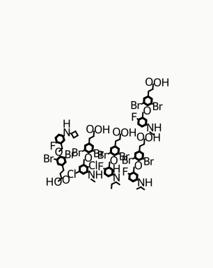 CC(C)Nc1ccc(F)c(COc2c(Br)cc(CCC(=O)O)cc2Br)c1.CCC(C)Nc1ccc(F)c(COc2c(Br)cc(CCC(=O)O)cc2Br)c1.CCNc1cc(Cl)cc(COc2c(Br)cc(CCC(=O)O)cc2Br)c1Cl.CCNc1ccc(F)c(COc2c(Br)cc(CCC(=O)O)cc2Br)c1.O=C(O)CCc1cc(Br)c(OCc2cc(NC3CCC3)ccc2F)c(Br)c1